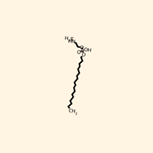 CCCCCCCCCCCCCCCCCCOP(=O)(O)OCCNC